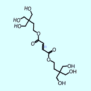 O=C(/C=C/C(=O)OCCC(CO)(CO)CO)OCCC(CO)(CO)CO